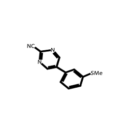 CSc1cccc(-c2cnc(C#N)nc2)c1